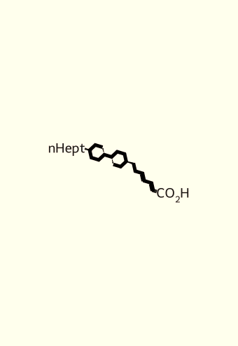 CCCCCCC[C@H]1CC[C@H]([C@H]2CC[C@H](CC/C=C/C=C/C(=O)O)CC2)CC1